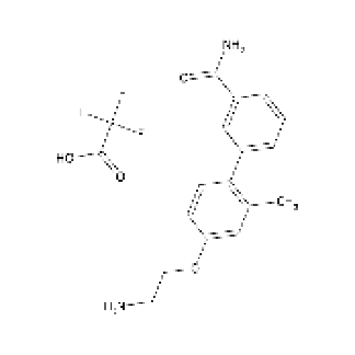 Cc1cc(OCCN)ccc1-c1cccc(C(N)=O)c1.O=C(O)C(F)(F)F